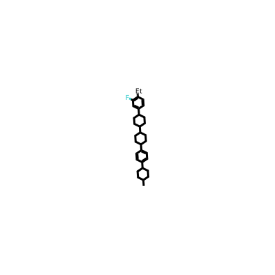 CCc1ccc(C2CCC(C3CCC(c4ccc(C5CCC(C)CC5)cc4)CC3)CC2)cc1F